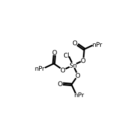 CCCC(=O)[O][Sn]([Cl])([O]C(=O)CCC)[O]C(=O)CCC